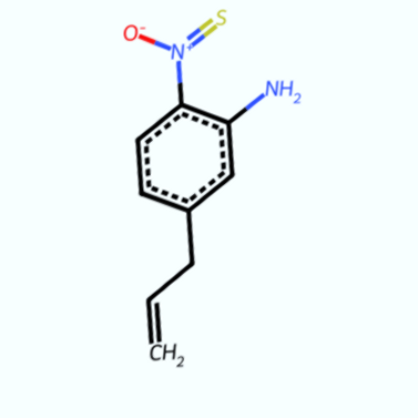 C=CCc1ccc([N+]([O-])=S)c(N)c1